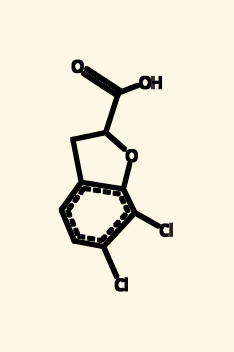 O=C(O)C1Cc2ccc(Cl)c(Cl)c2O1